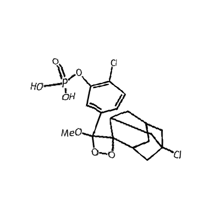 COC1(c2ccc(Cl)c(OP(=O)(O)O)c2)OOC12C1CC3CC2CC(Cl)(C3)C1